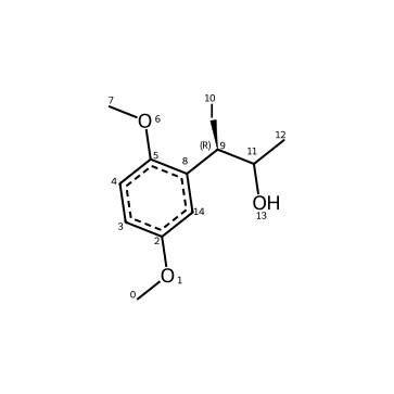 COc1ccc(OC)c([C@@H](I)C(C)O)c1